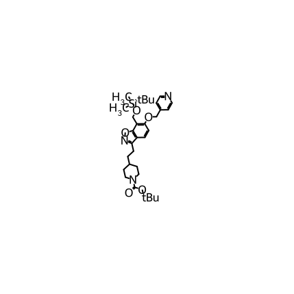 CC(C)(C)OC(=O)N1CCC(CCc2noc3c(CO[Si](C)(C)C(C)(C)C)c(OCc4ccncc4)ccc23)CC1